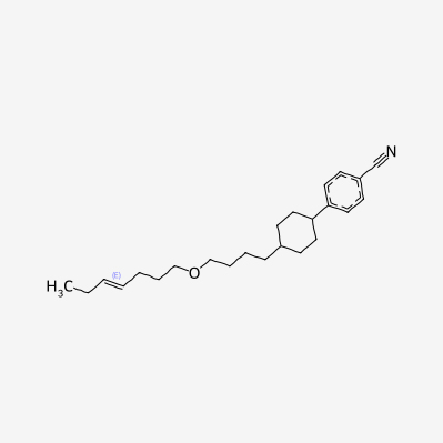 CC/C=C/CCCOCCCCC1CCC(c2ccc(C#N)cc2)CC1